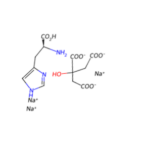 N[C@@H](Cc1c[nH]cn1)C(=O)O.O=C([O-])CC(O)(CC(=O)[O-])C(=O)[O-].[Na+].[Na+].[Na+]